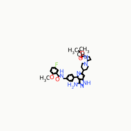 COc1ccc(F)cc1C(=O)NCc1ccc(-c2nc(C3CCN(C4CCN4C(=O)OC(C)(C)C)CC3)cc3[nH]nc(N)c23)cc1